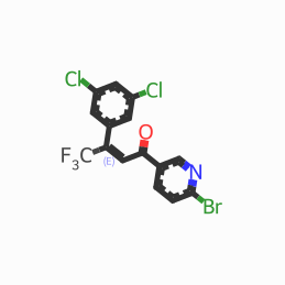 O=C(/C=C(\c1cc(Cl)cc(Cl)c1)C(F)(F)F)c1ccc(Br)nc1